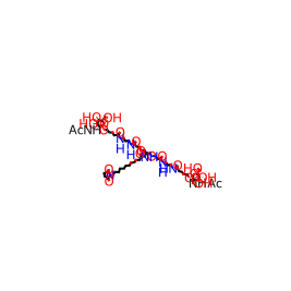 CC(=O)N[C@H]1[C@H](OCCCCC(=O)NCCCNC(=O)CCOCC(COCCC(=O)NCCCNC(=O)CCCCO[C@@H]2O[C@H](CO)[C@H](O)[C@H](O)[C@H]2NC(C)=O)NC(=O)CCCCCCCCCCCN2C(=O)C=CC2=O)O[C@H](CO)[C@H](O)[C@@H]1O